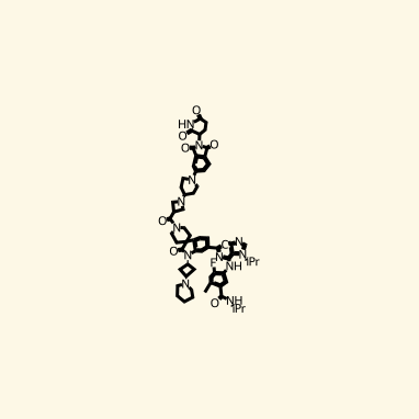 Cc1cc(F)c(Nc2nc(-c3ccc4c(c3)N([C@H]3C[C@@H](N5CCCCC5)C3)C(=O)C43CCN(C(=O)C4CN(C5CCN(c6ccc7c(c6)C(=O)N(C6CCC(=O)NC6=O)C7=O)CC5)C4)CC3)cc3ncn(C(C)C)c23)cc1C(=O)NC(C)C